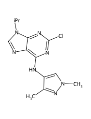 Cc1nn(C)cc1Nc1nc(Cl)nc2c1ncn2C(C)C